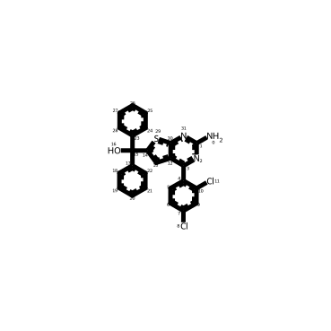 Nc1nc(-c2ccc(Cl)cc2Cl)c2cc(C(O)(c3ccccc3)c3ccccc3)sc2n1